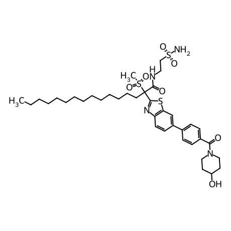 CCCCCCCCCCCCCCC(C(=O)NCCS(N)(=O)=O)(c1nc2ccc(-c3ccc(C(=O)N4CCC(O)CC4)cc3)cc2s1)S(C)(=O)=O